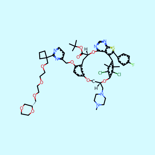 Cc1c(Cl)c2c(Cl)c(C)c1-c1c(-c3ccc(F)cc3)sc3ncnc(c13)O[C@@H](C(=O)OC(C)(C)C)Cc1cc(ccc1OCc1ccnc(C3(COCCOCCOC[C@H]4COCCO4)CCC3)n1)OC[C@@H](CN1CCN(C)CC1)O2